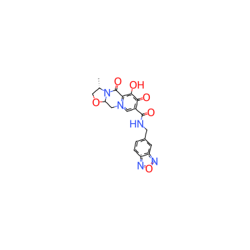 C[C@H]1COC2Cn3cc(C(=O)NCc4ccc5nonc5c4)c(=O)c(O)c3C(=O)N21